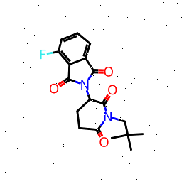 CC(C)(C)CN1C(=O)CCC(N2C(=O)c3cccc(F)c3C2=O)C1=O